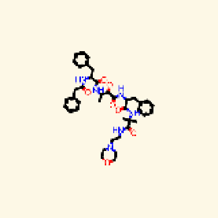 CC(NC(=O)C(Cc1ccccc1)NC(=O)Cc1ccccc1)C(=O)C(=O)NC(Cc1ccccc1)C(=O)NC(C)(C)C(=O)NCCN1CCOCC1